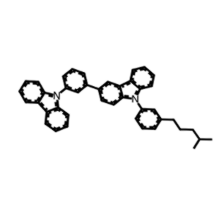 CC(C)CCCc1cccc(-n2c3ccccc3c3cc(-c4cccc(-n5c6ccccc6c6ccccc65)c4)ccc32)c1